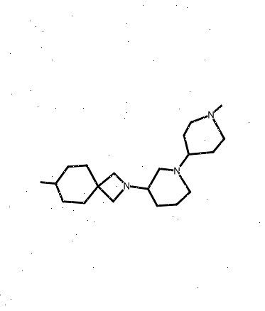 CC1CCC2(CC1)CN(C1CCCN(C3CCN(C)CC3)C1)C2